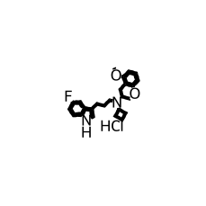 COc1cccc2c1C[C@@H](N(CCCc1c[nH]c3ccc(F)cc13)C1CCC1)CO2.Cl